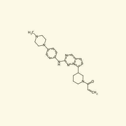 C=CC(=O)N1CCCC(c2ccc3cnc(Nc4ccc(N5CCN(C)CC5)cc4)nn23)C1